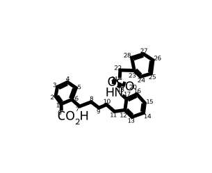 O=C(O)c1ccccc1CCCCCc1ccccc1NS(=O)(=O)Cc1ccccc1